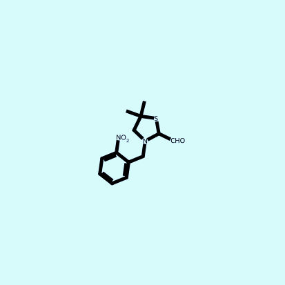 CC1(C)CN(Cc2ccccc2[N+](=O)[O-])C(C=O)S1